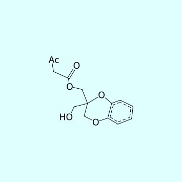 CC(=O)CC(=O)OCC1(CO)COc2ccccc2O1